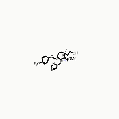 CO/N=C1/[C@@H](Cn2cncn2)[C@H](COc2ccc(C(F)(F)F)cc2)CC[C@@]1(C)CCO